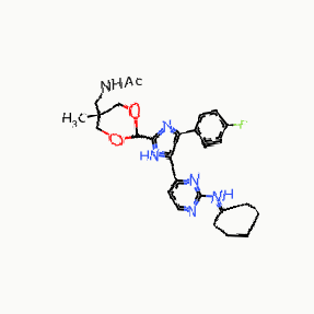 CC(=O)NCC1(C)COC(c2nc(-c3ccc(F)cc3)c(-c3ccnc(NC4CCCCC4)n3)[nH]2)OC1